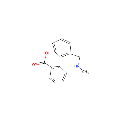 CNCc1ccccc1.O=C(O)c1ccccc1